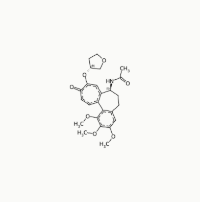 COc1cc2c(c(OC)c1OC)-c1ccc(=O)c(O[C@@H]3CCOC3)cc1[C@@H](NC(C)=O)CC2